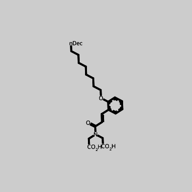 CCCCCCCCCCCCCCCCCCOc1ccccc1C=CC(=O)N(CC(=O)O)CC(=O)O